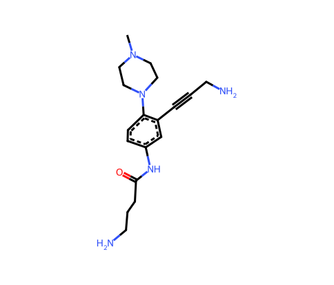 CN1CCN(c2ccc(NC(=O)CCCN)cc2C#CCN)CC1